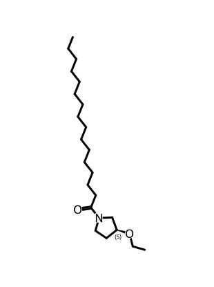 CCCCCCCCCCCCCCCC(=O)N1CC[C@H](OCC)C1